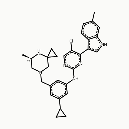 Cc1ccc2c(-c3nc(Nc4cc(CN5C[C@@H](C)NC6(CC6)C5)cc(C5CC5)c4)ncc3Cl)c[nH]c2c1